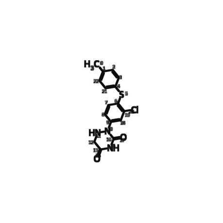 Cc1ccc(Sc2ccc(N3NCC(=O)NC3=O)cc2Cl)cc1